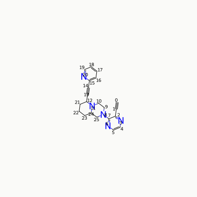 C#Cc1nccnc1N1CCN2C(C#Cc3ccccn3)CCCC2C1